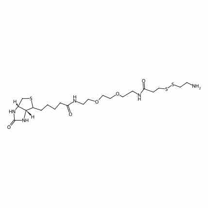 NCCSSCCC(=O)NCCOCCOCCNC(=O)CCCCC1SC[C@H]2NC(=O)N[C@@H]12